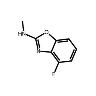 CNc1nc2c(F)cccc2o1